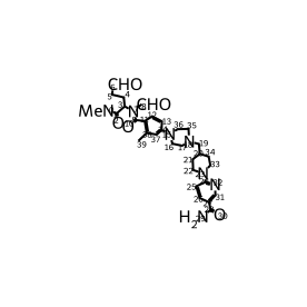 CNC(=O)C(CCC=O)N(C=O)C(=O)c1ccc(N2CCN(CC3CCN(c4ccc(C(N)=O)cn4)CC3)CC2)cc1C